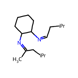 C/C(CC(C)C)=N/C1CCCCC1/N=C\CC(C)C